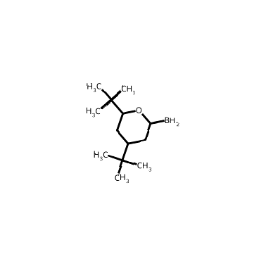 BC1CC(C(C)(C)C)CC(C(C)(C)C)O1